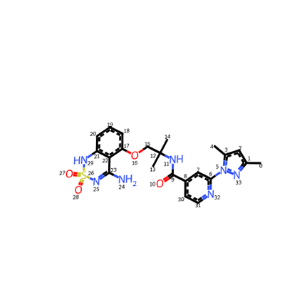 Cc1cc(C)n(-c2cc(C(=O)NC(C)(C)COc3cccc4c3C(N)=NS(=O)(=O)N4)ccn2)n1